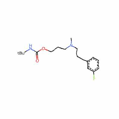 CN(CCCOC(=O)NC(C)(C)C)CCc1cccc(F)c1